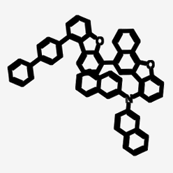 c1ccc(-c2ccc(-c3cccc4oc5c(-c6cc7c(oc8cccc(N(c9ccc%10ccccc%10c9)c9ccc%10ccccc%10c9)c87)c7ccccc67)cccc5c34)cc2)cc1